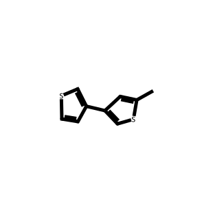 Cc1cc(-c2ccsc2)cs1